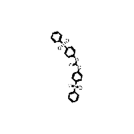 O=C(Oc1ccc(S(=O)(=O)c2ccccc2)cc1)Oc1ccc(S(=O)(=O)c2ccccc2)cc1